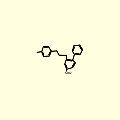 Cc1ccc(CCCc2cc([C]=O)ccc2-c2ccccc2)cc1